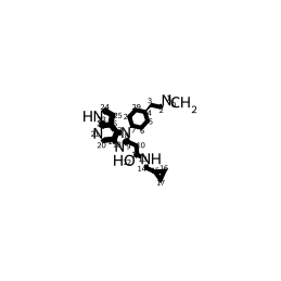 C=NCC[C@H]1CC[C@H](n2c(CC(O)NCC3CC3)nc3cnc4[nH]ccc4c32)CC1